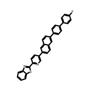 Fc1ccc(-c2ccc(-c3ccc4cc(-c5ccc(-c6nc7ccccc7s6)nc5)ccc4c3)cc2)cc1